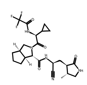 C[C@H]1CNC(=O)[C@@H]1C[C@@H](C#N)NC(=O)[C@@H]1[C@H]2CCC[C@H]2CN1C(=O)[C@@H](NC(=O)C(F)(F)F)C1CC1